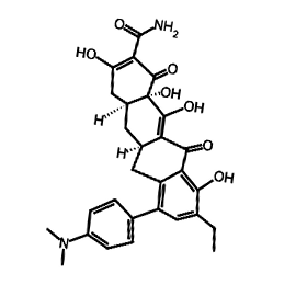 CCc1cc(-c2ccc(N(C)C)cc2)c2c(c1O)C(=O)C1=C(O)[C@]3(O)C(=O)C(C(N)=O)=C(O)C[C@@H]3C[C@@H]1C2